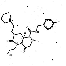 CSCC[C@H]1C(=O)N(CCC2=CCCCC2)C[C@H]2N1C(=O)CN(C)N2C(=O)NCc1ccc(F)cc1